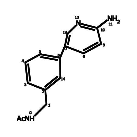 CC(=O)NCc1cccc(-c2ccc(N)nc2)c1